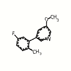 COc1cncc(-c2cc(F)ccc2C)c1